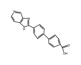 O=C(O)c1ccc(-c2ccc(-c3nc4cnccc4[nH]3)cc2)cc1